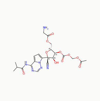 CC(=O)OCOC(=O)O[C@H]1[C@@H](O)[C@](C#N)(c2ccc3c(NC(=O)C(C)C)ncnn23)O[C@@H]1COC(=O)CN